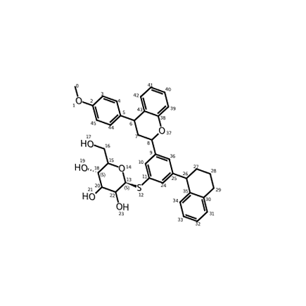 COc1ccc(C2CC(c3cc(S[C@@H]4OC(CO)[C@@H](O)C(O)C4O)cc(C4CCCc5ccccc54)c3)Oc3ccccc32)cc1